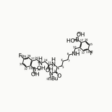 CCCCNC(=O)[C@H](CCCCNCc1cc(F)ccc1B(O)O)NC(=O)CNCc1cc(F)ccc1B(O)O